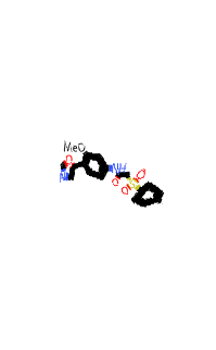 COc1cc(NC(=O)CS(=O)(=O)c2ccccc2)ccc1-c1cnco1